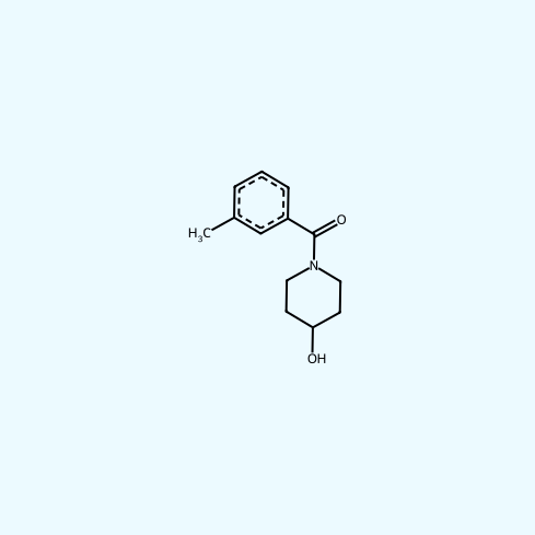 Cc1cccc(C(=O)N2CCC(O)CC2)c1